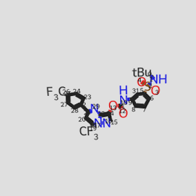 CC(C)(C)NS(=O)(=O)c1cccc(NC(=O)Oc2cnn3c(C(F)(F)F)cc(-c4ccc(C(F)(F)F)cc4)nc23)c1